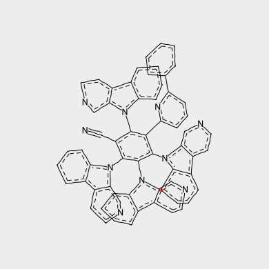 N#Cc1c(-n2c3ccccc3c3ccncc32)c(-c2cccc(-c3ccccc3)n2)c(-n2c3ccccc3c3ccncc32)c(-n2c3ccccc3c3ccncc32)c1-n1c2ccccc2c2ccncc21